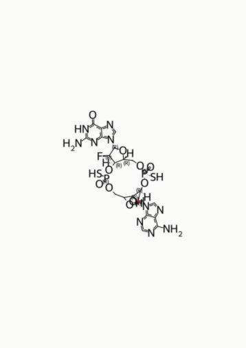 Nc1nc2c(ncn2[C@@H]2O[C@@H]3CO[P@](=O)(S)O[C@@H]4[C@H](O)C(CO[P@@](=O)(S)O[C@H]3[C@H]2F)O[C@H]4n2cnc3c(N)ncnc32)c(=O)[nH]1